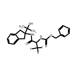 CC(C)(O)C1(NC(=O)C(NC(=O)OCc2ccccc2)C(F)(F)F)Cc2ccccc2C1